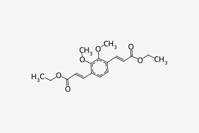 CCOC(=O)/C=C/c1ccc(/C=C/C(=O)OCC)c(OC)c1OC